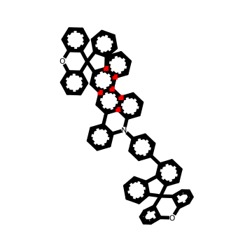 c1ccc(-c2ccc(-c3ccccc3N(c3ccc(-c4cccc5c4-c4ccccc4C54c5ccccc5Oc5ccccc54)cc3)c3cccc(-c4ccc5c(c4)-c4ccccc4C54c5ccccc5Oc5ccccc54)c3)cc2)cc1